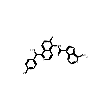 Cc1ccc2c(C(O)c3ccc(Cl)cc3)nccc2c1NC(=O)c1csc2c(N)ncnc12